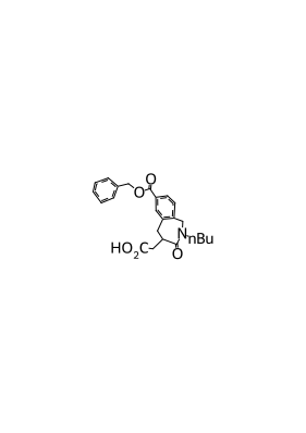 CCCCN1Cc2ccc(C(=O)OCc3ccccc3)cc2CC(CC(=O)O)C1=O